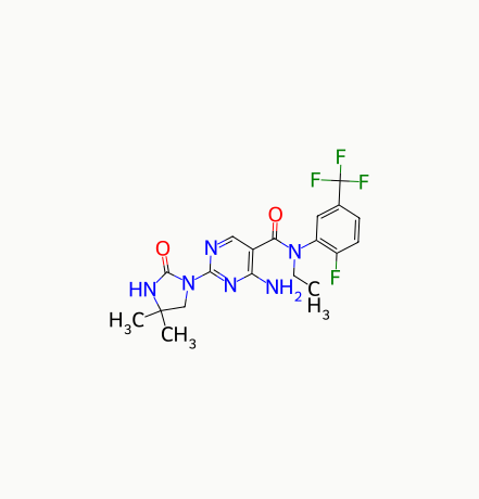 CCN(C(=O)c1cnc(N2CC(C)(C)NC2=O)nc1N)c1cc(C(F)(F)F)ccc1F